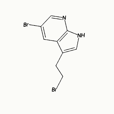 BrCCc1c[nH]c2ncc(Br)cc12